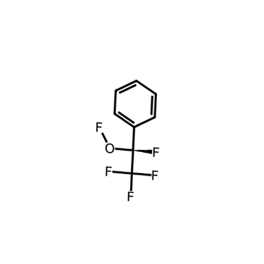 FO[C@](F)(c1ccccc1)C(F)(F)F